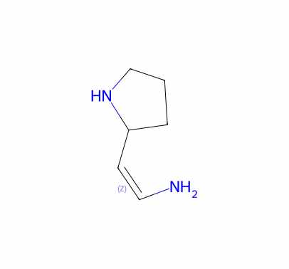 N/C=C\C1CCCN1